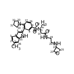 Cc1ccc2cc(-c3cc(S(=O)(=O)N(C)CC(=O)NCCNC4COC4)ccc3N3CCCC3)[nH]c2c1